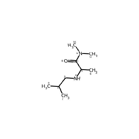 CC(C)CNC(C)C(=O)N(C)C